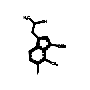 COc1cn(CC(C)O)c2ccc(F)c(C)c12